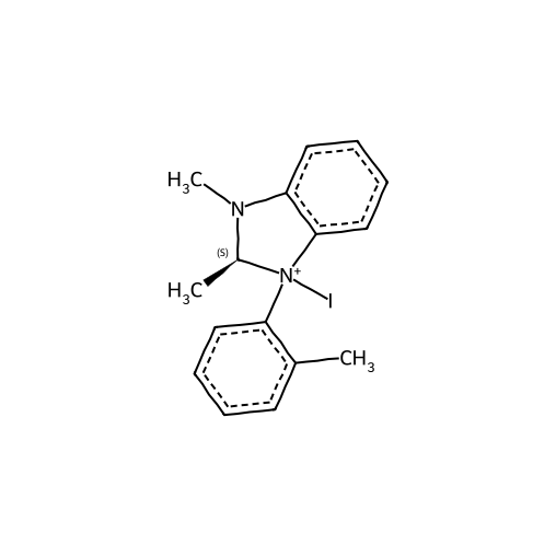 Cc1ccccc1[N+]1(I)c2ccccc2N(C)[C@@H]1C